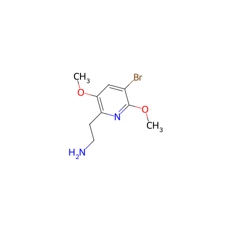 COc1cc(Br)c(OC)nc1CCN